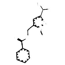 Cn1nc(C(F)F)cc1COC(=O)c1ccccc1